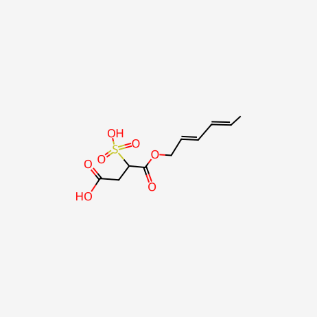 CC=CC=CCOC(=O)C(CC(=O)O)S(=O)(=O)O